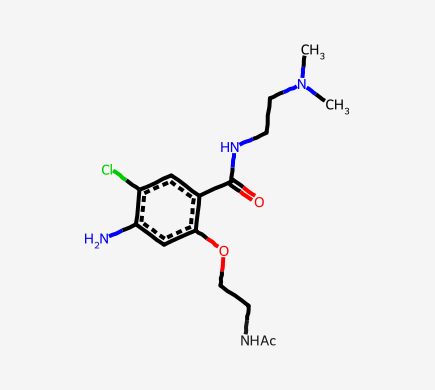 CC(=O)NCCOc1cc(N)c(Cl)cc1C(=O)NCCN(C)C